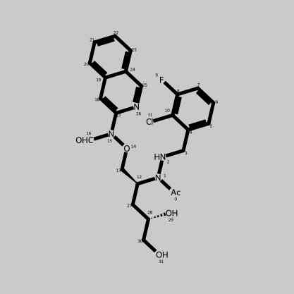 CC(=O)N(NCc1cccc(F)c1Cl)[C@H](CON(C=O)c1cc2ccccc2cn1)C[C@H](O)CO